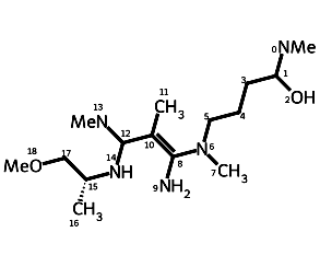 CNC(O)CCCN(C)/C(N)=C(\C)C(NC)N[C@H](C)COC